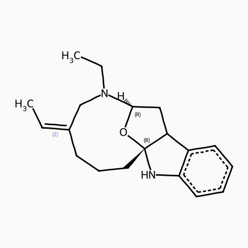 C/C=C1/CCC[C@]23Nc4ccccc4C2C[C@@H](O3)N(CC)C1